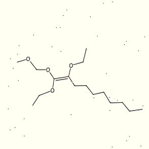 CCCCCCCC/C(OCC)=C(\OCC)OCOC